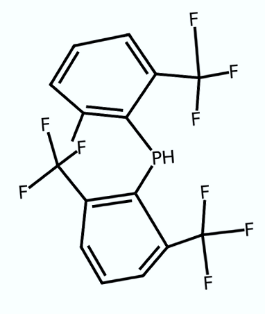 Cc1cccc(C(F)(F)F)c1Pc1c(C(F)(F)F)cccc1C(F)(F)F